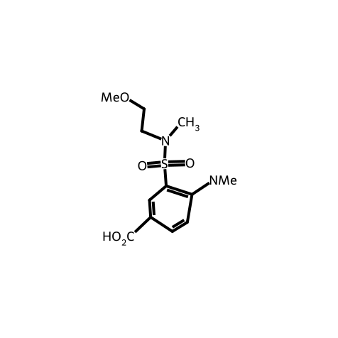 CNc1ccc(C(=O)O)cc1S(=O)(=O)N(C)CCOC